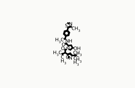 Cc1ncsc1-c1ccc(C(C)NC(=O)C2CC(O)CN2C(=O)C(c2cc(C(C)(C)C)no2)C(C)C)cc1